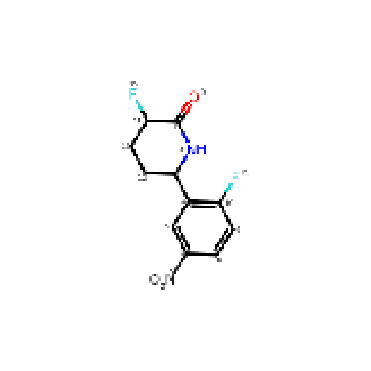 O=C1NC(c2cc([N+](=O)[O-])ccc2F)CCC1F